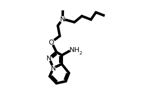 CCCCCN(C)CCOc1nn2ccccc2c1N